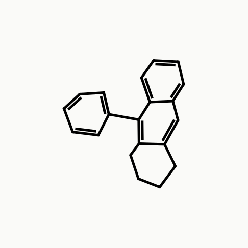 c1ccc(-c2c3c(cc4ccccc24)CCCC3)cc1